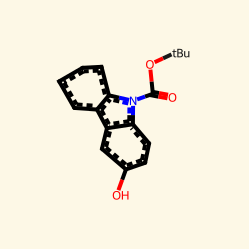 CC(C)(C)OC(=O)n1c2ccccc2c2cc(O)ccc21